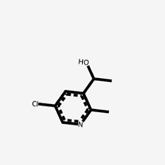 Cc1ncc(Cl)cc1C(C)O